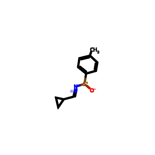 Cc1ccc([S+]([O-])/N=C/C2CC2)cc1